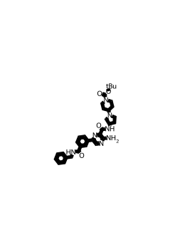 CC(C)(C)OC(=O)N1CCC(N2CC[C@H](NC(=O)c3nc(-c4cccc(C(=O)NCc5ccccc5)c4)cnc3N)C2)CC1